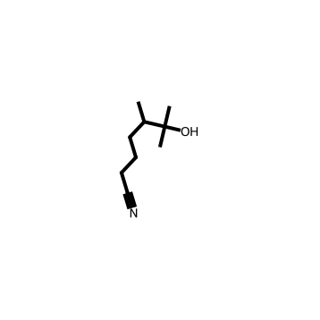 CC(CCCC#N)C(C)(C)O